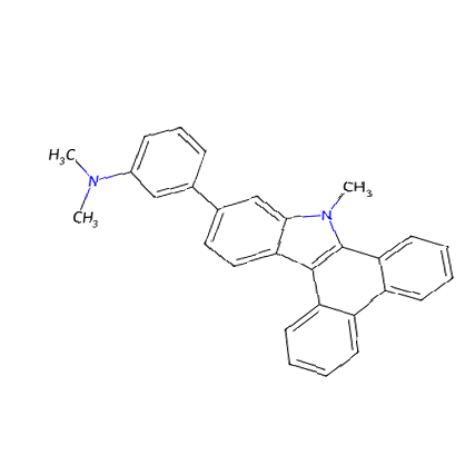 CN(C)c1cccc(-c2ccc3c4c5ccccc5c5ccccc5c4n(C)c3c2)c1